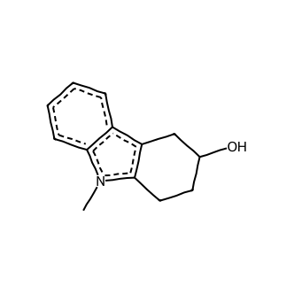 Cn1c2c(c3ccccc31)CC(O)CC2